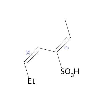 C/C=C(\C=C/CC)S(=O)(=O)O